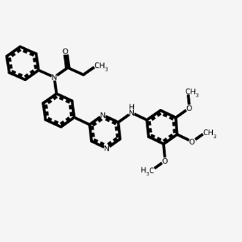 CCC(=O)N(c1ccccc1)c1cccc(-c2cncc(Nc3cc(OC)c(OC)c(OC)c3)n2)c1